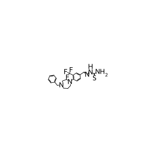 NC(=S)NN=Cc1ccc(N2CCCN(Cc3ccccc3)CC2)c(C(F)(F)F)c1